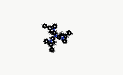 CC1(C)C2=CC(C3=CCCC=C3)Cc3c2n(c2ccccc32)-c2ccc(N(c3ccc4c(c3)C(C)(C)c3cc(-c5ccccc5)cc5c6ccccc6n-4c35)c3ccc4c(c3)C(C)(C)c3cc(-c5ccccc5)cc5c6ccccc6n-4c35)cc21